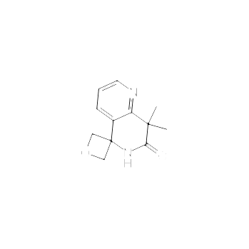 CC1(C)C(=O)NC2(COC2)c2cccnc21